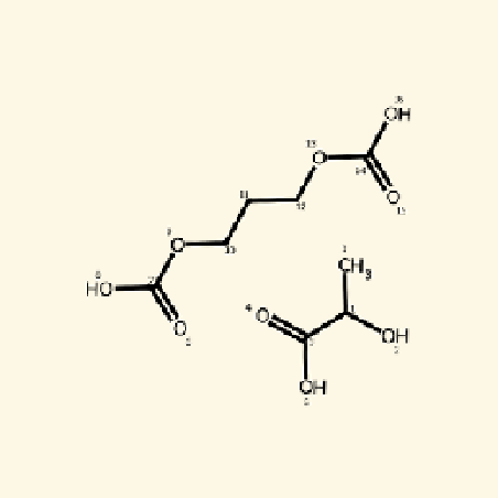 CC(O)C(=O)O.O=C(O)OCCCOC(=O)O